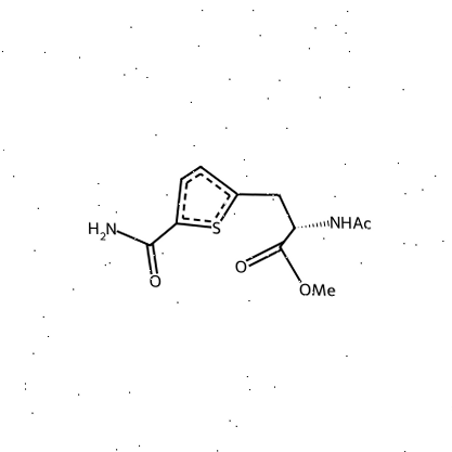 COC(=O)[C@H](Cc1ccc(C(N)=O)s1)NC(C)=O